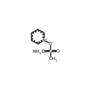 CS(=O)(=O)O[n+]1ccccc1.N